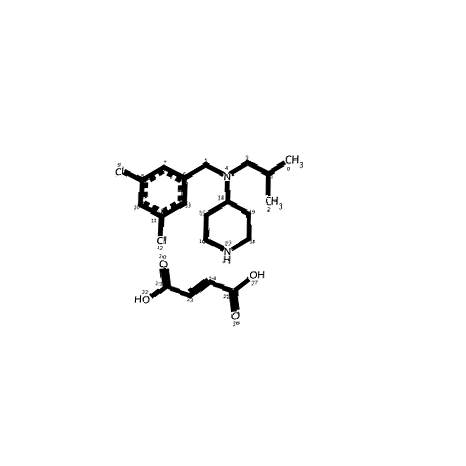 CC(C)CN(Cc1cc(Cl)cc(Cl)c1)C1CCNCC1.O=C(O)C=CC(=O)O